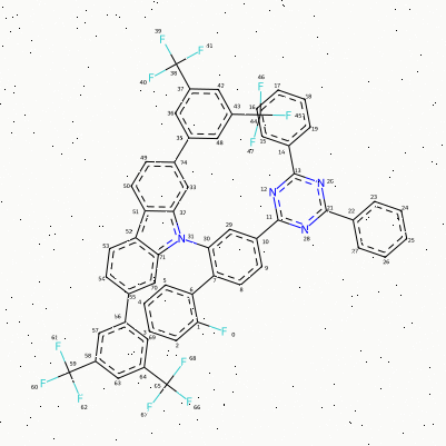 Fc1ccccc1-c1ccc(-c2nc(-c3ccccc3)nc(-c3ccccc3)n2)cc1-n1c2cc(-c3cc(C(F)(F)F)cc(C(F)(F)F)c3)ccc2c2ccc(-c3cc(C(F)(F)F)cc(C(F)(F)F)c3)cc21